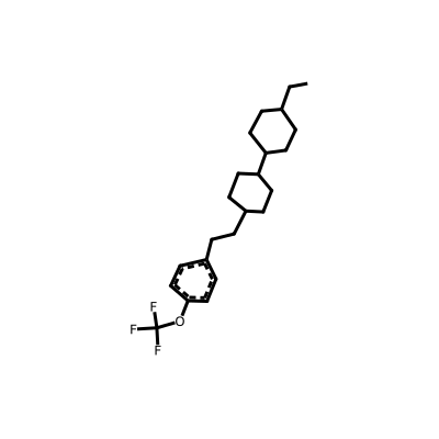 CCC1CCC(C2CCC(CCc3ccc(OC(F)(F)F)cc3)CC2)CC1